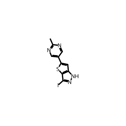 Cc1ncc(-c2cc3[nH]nc(I)c3s2)cn1